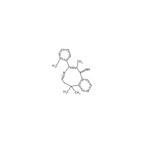 C/C1=C(c2ccccc2C)/N=C\CC(C)(C)c2ccccc2C1=N